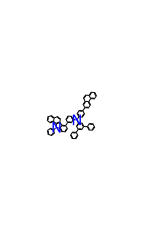 c1ccc(-c2cc(-c3ccccc3)cc(N(c3ccc(-c4ccc5c(ccc6ccccc65)c4)cc3)c3cccc(-c4cccc5c4c4ccc6ccccc6c4n5-c4ccccc4)c3)c2)cc1